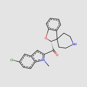 Cn1c(C(=O)[C@@H]2Oc3ccccc3C23CCNCC3)cc2cc(Cl)ccc21